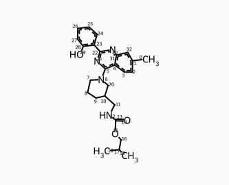 Cc1ccc2c(N3CCCC(CNC(=O)OCC(C)C)C3)nc(-c3ccccc3O)nc2c1